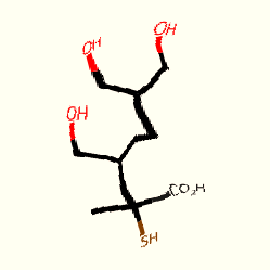 CC(S)(C(=O)O)C(CO)CC(CO)CO